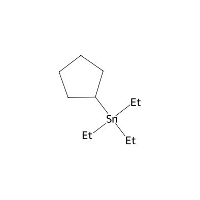 C[CH2][Sn]([CH2]C)([CH2]C)[CH]1CCCC1